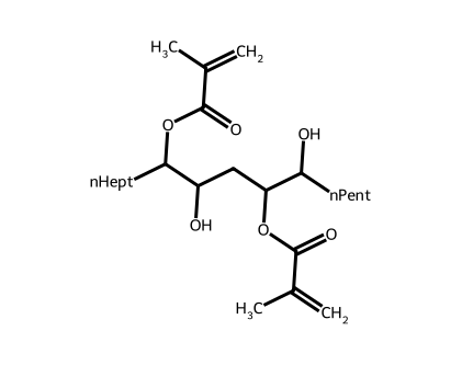 C=C(C)C(=O)OC(CCCCCCC)C(O)CC(OC(=O)C(=C)C)C(O)CCCCC